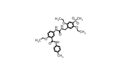 CCOc1cc(S(C)(=O)=O)c(OCC)cc1CNC(=O)Nc1ccc(OCC)c(C(=O)Nc2ccc(C)cc2)c1